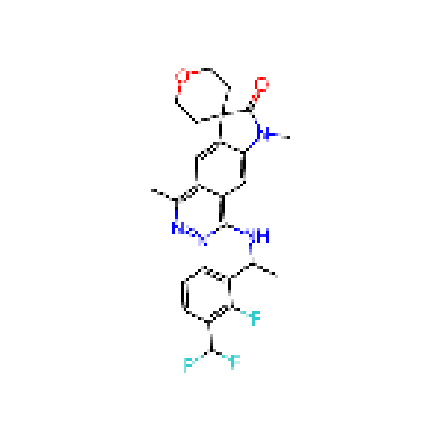 Cc1nnc(NC(C)c2cccc(C(F)F)c2F)c2cc3c(cc12)C1(CCOCC1)C(=O)N3C